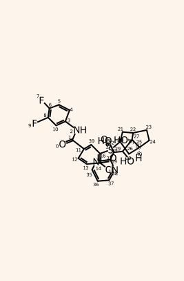 O=C(Nc1ccc(F)c(F)c1)c1ccc(Cl)c(S(=O)(=O)C2CC3CC[C@@H](C2)[C@@]3(O)C(O)C(O)c2ncccn2)c1